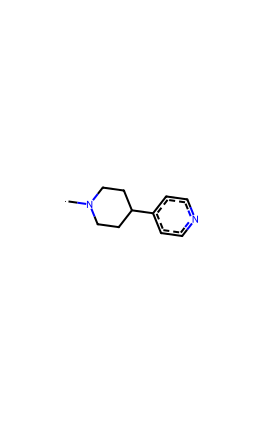 [CH2]N1CCC(c2ccncc2)CC1